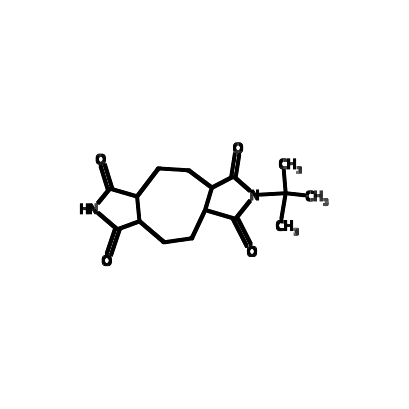 CC(C)(C)N1C(=O)C2CCC3C(=O)NC(=O)C3CCC2C1=O